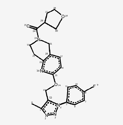 Cc1nnn(-c2ccc(F)cc2)c1COc1ccc2c(n1)CCN(C(=O)C1CCOC1)C2